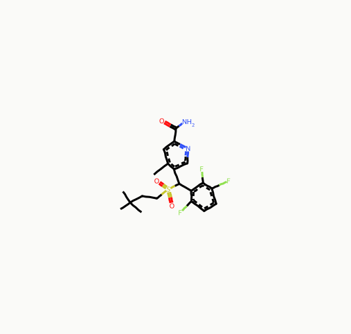 Cc1cc(C(N)=O)ncc1C(c1c(F)ccc(F)c1F)S(=O)(=O)CCC(C)(C)C